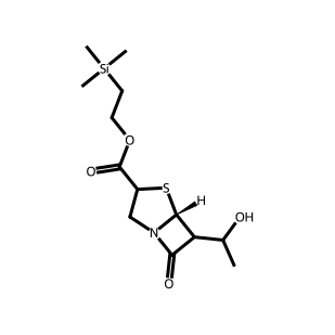 CC(O)C1C(=O)N2CC(C(=O)OCC[Si](C)(C)C)S[C@H]12